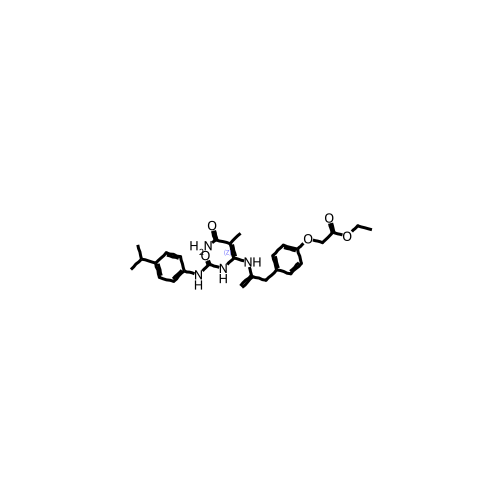 C=C(Cc1ccc(OCC(=O)OCC)cc1)N/C(NC(=O)Nc1ccc(C(C)C)cc1)=C(\C)C(N)=O